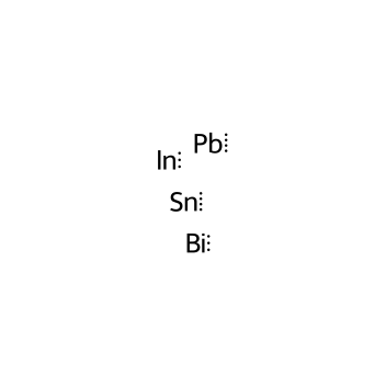 [Bi].[In].[Pb].[Sn]